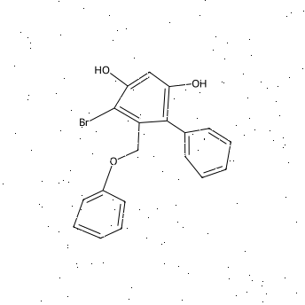 Oc1cc(O)c(-c2ccccc2)c(COc2ccccc2)c1Br